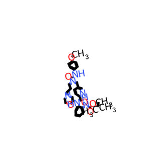 COc1ccc(NC(=O)N(CCCN2CCOCC2)Cc2ccc(C(=O)Nc3ccccc3NC(=O)OC(C)(C)C)nc2)cc1